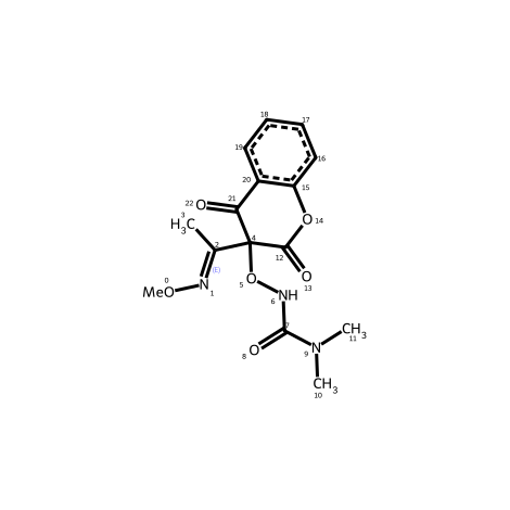 CO/N=C(\C)C1(ONC(=O)N(C)C)C(=O)Oc2ccccc2C1=O